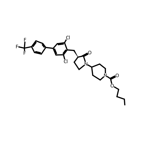 CCCCOC(=O)N1CCC(N2CC[C@@H](Cc3c(Cl)cc(-c4ccc(C(F)(F)F)cc4)cc3Cl)C2=O)CC1